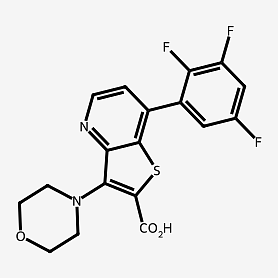 O=C(O)c1sc2c(-c3cc(F)cc(F)c3F)ccnc2c1N1CCOCC1